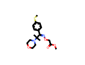 COC(=O)CON=C(c1ccc(SC)cc1)C(C)(C)N1CCOCC1